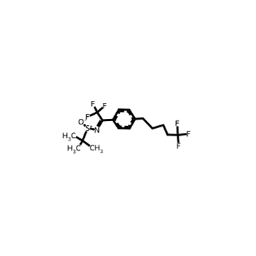 CC(C)(C)[S+]([O-])N=C(c1ccc(CCCCC(F)(F)F)cc1)C(F)(F)F